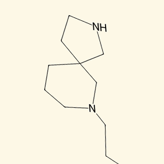 OCCN1CCCC2(CCNC2)C1